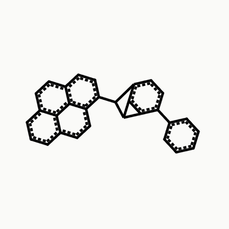 c1ccc(-c2ccc3c4c2C4C3c2ccc3ccc4cccc5ccc2c3c45)cc1